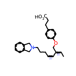 C/C=C(\C=C/CCCN1Cc2ccccc2C1)COc1ccc(CCC(=O)O)cc1